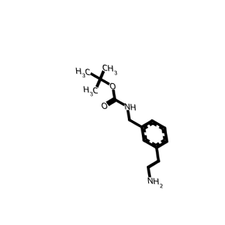 CC(C)(C)OC(=O)NCc1cccc(CCN)c1